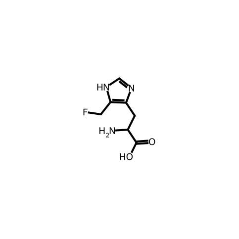 NC(Cc1nc[nH]c1CF)C(=O)O